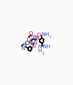 CN1CCN=C1c1cccc(Oc2nc3c(c(Oc4cc(C(=N)N)ccc4C(N)=O)n2)NC(=O)CO3)c1